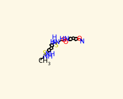 CCCCNC(=S)Nc1ccc2c(c1)Cc1cc(NC(=S)NCCCOC(=O)Nc3ccc4c(c3)Cc3cc(OC#N)ccc3-4)ccc1-2